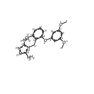 COc1cc(OC)cc(Oc2cccc(Cl)c2Cn2c(N)nnc2N)c1